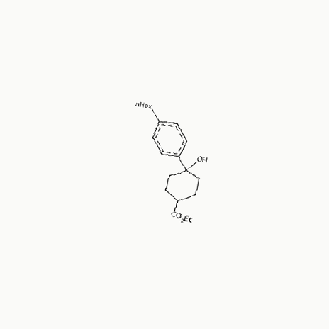 CCCCCCc1ccc(C2(O)CCC(C(=O)OCC)CC2)cc1